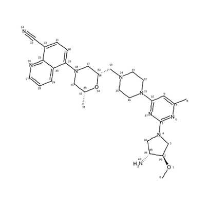 CO[C@@H]1CN(c2nc(C)cc(N3CCN(C[C@H]4CN(c5ccc(C#N)c6ncccc56)C[C@@H](C)O4)CC3)n2)C[C@H]1N